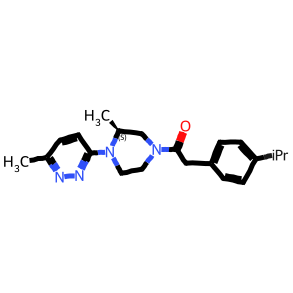 Cc1ccc(N2CCN(C(=O)Cc3ccc(C(C)C)cc3)C[C@@H]2C)nn1